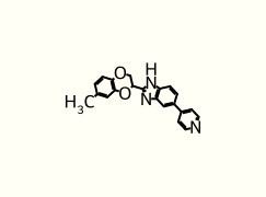 Cc1ccc2c(c1)OC(c1nc3cc(-c4ccncc4)ccc3[nH]1)CO2